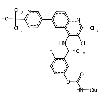 Cc1nc2ccc(-c3cnc(C(C)(C)O)nc3)cc2c(N[C@H](C)c2cc(OC(=O)NC(C)(C)C)ccc2F)c1Cl